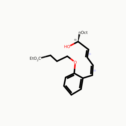 CCCCCCCC[C@H](O)/C=C/C=C\c1ccccc1OCCCC(=O)OCC